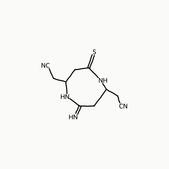 N#CCC1CC(=S)NC(CC#N)CC(=N)N1